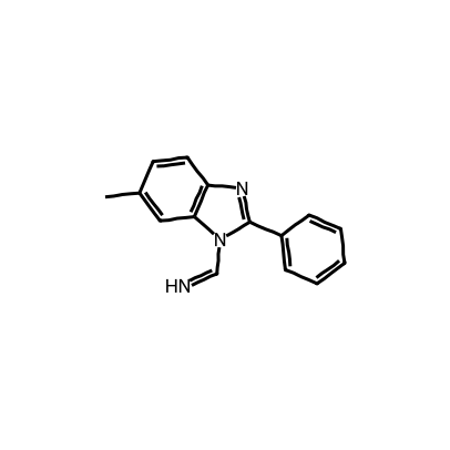 Cc1ccc2nc(-c3ccccc3)n(C=N)c2c1